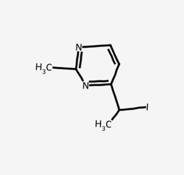 Cc1nccc(C(C)I)n1